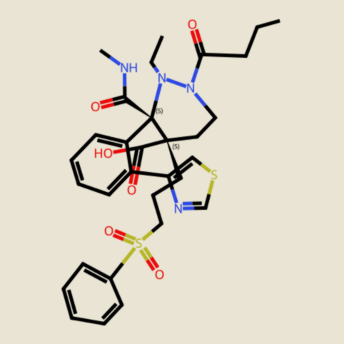 CCCC(=O)N1CC[C@](CCCS(=O)(=O)c2ccccc2)(C(=O)O)[C@](C(=O)NC)(c2ccccc2-c2cscn2)N1CC